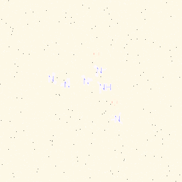 Cn1c(NCC(=O)c2ccccc2N2CCCC2)nc(-c2ccncn2)cc1=O